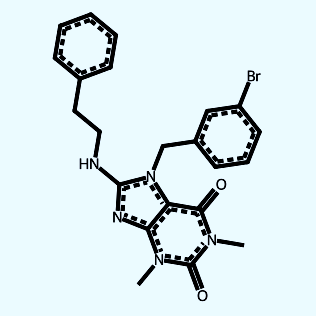 Cn1c(=O)c2c(nc(NCCc3ccccc3)n2Cc2cccc(Br)c2)n(C)c1=O